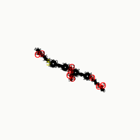 C=CC(=O)OCCCCOc1ccc(C#Cc2ccc(OC(=O)c3ccc(C#Cc4ccc(SCCCCOC(=O)C=C)cc4)cc3)c(C(=O)OC)c2)cc1